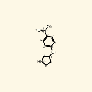 O=[N+]([O-])c1ccc(OC2CCNC2)cc1